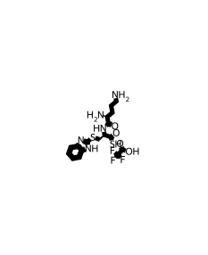 NCCC[C@@H](N)C(=O)N[C@H](CSc1nc2ccccc2[nH]1)C(=O)S.O=C(O)C(F)(F)F